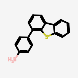 Bc1ccc(-c2cccc3c2sc2ccccc23)cc1